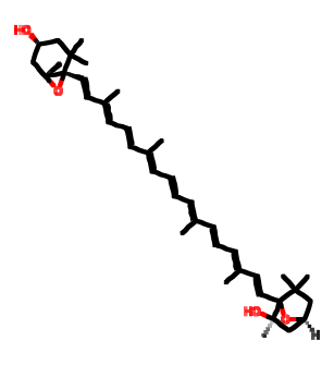 CC(/C=C/C=C(C)/C=C/C12O[C@@H](CC1(C)C)C[C@@]2(C)O)=C\C=C\C=C(C)\C=C\C=C(C)\C=C\[C@@]12O[C@]1(C)C[C@@H](O)CC2(C)C